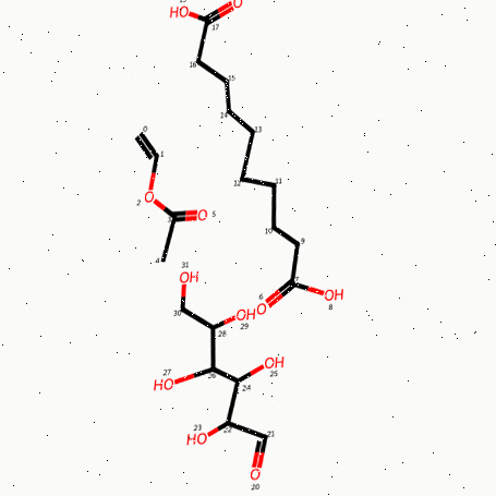 C=COC(C)=O.O=C(O)CCCCCCCCC(=O)O.O=CC(O)C(O)C(O)C(O)CO